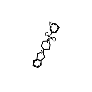 O=S(=O)(c1cccnc1)N1CCC(N2Cc3ccccc3C2)CC1